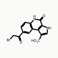 O=C(CBr)c1ccc2[nH]c(=O)c3[nH]cc(C(=O)O)c3c2c1